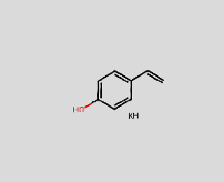 C=Cc1ccc(O)cc1.[KH]